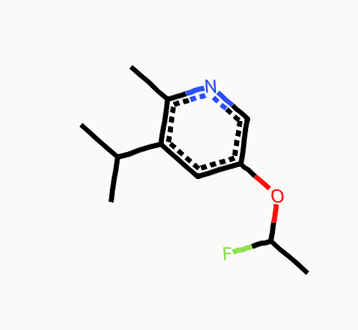 Cc1ncc(OC(C)F)cc1C(C)C